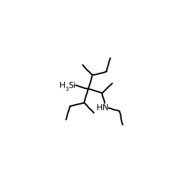 CCNC(C)C([SiH3])(C(C)CC)C(C)CC